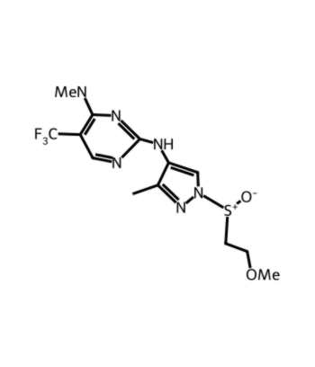 CNc1nc(Nc2cn([S+]([O-])CCOC)nc2C)ncc1C(F)(F)F